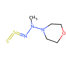 CN(N=S=S)N1CCOCC1